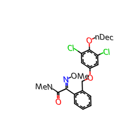 CCCCCCCCCCOc1c(Cl)cc(OCc2ccccc2/C(=N\OC)C(=O)NC)cc1Cl